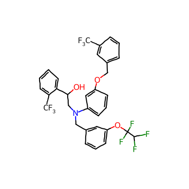 OC(CN(Cc1cccc(OC(F)(F)C(F)F)c1)c1cccc(OCc2cccc(C(F)(F)F)c2)c1)c1ccccc1C(F)(F)F